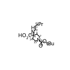 CC(C)CCNC1(C(=O)O)CCN(C(=O)OC(C)(C)C)CC1